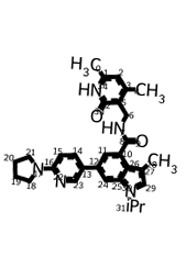 Cc1cc(C)c(CNC(=O)c2cc(-c3ccc(N4CCCC4)nc3)cc3c2c(C)cn3C(C)C)c(=O)[nH]1